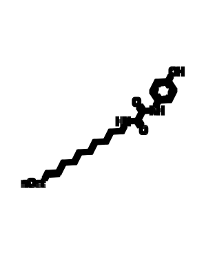 CCCCCCCCC=CCCCCCCCCNC(=O)C(=O)Nc1ccc(O)cc1